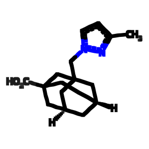 Cc1ccn(CC23C[C@H]4C[C@@H](C2)CC(C(=O)O)(C4)C3)n1